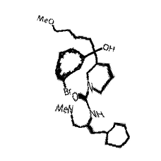 CNCC(CC1CCCCC1)NC(=O)N1CCCC(C(O)(CCCCOC)c2cccc(Br)c2)C1